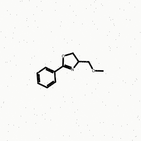 COCC1COC(c2ccccc2)=N1